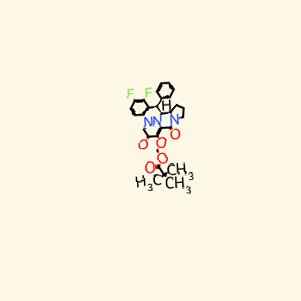 CC(C)(C)C(=O)OCOc1c2n(ncc1=O)[C@@H](C(c1ccccc1)c1cccc(F)c1F)[C@H]1CCCN1C2=O